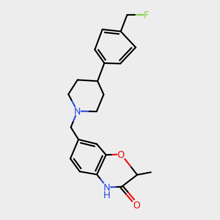 CC1Oc2cc(CN3CCC(c4ccc(CF)cc4)CC3)ccc2NC1=O